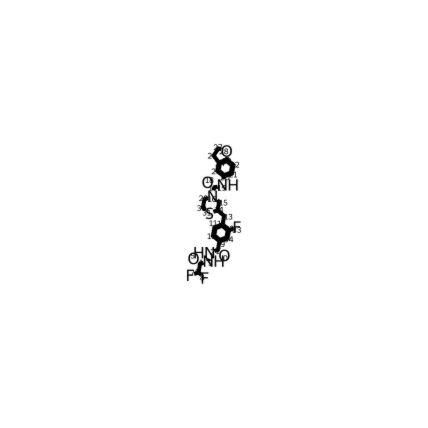 O=C(NNC(=O)C(F)F)c1ccc(CC2CN(C(=O)Nc3ccc4c(c3)CCO4)CCS2)c(F)c1